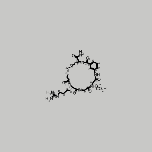 NC(=O)C1CSSCCC(=O)N[C@@H](CCCCN=C(N)N)C(=O)NCC(=O)N[C@@H](CC(=O)O)C(=O)Nc2cccc(c2)C(=O)N1